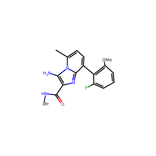 CCCNC(=O)c1nc2c(-c3c(F)cccc3OC)ccc(C)n2c1N